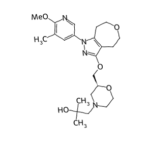 COc1ncc(-n2nc(OC[C@@H]3CN(CC(C)(C)O)CCO3)c3c2CCOCC3)cc1C